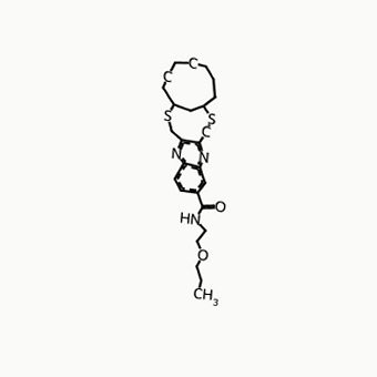 CCCOCCNC(=O)c1ccc2nc3c(nc2c1)CSC1CCCCCCCC(C1)SC3